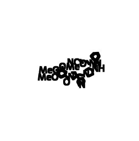 COc1cc(C(=O)N2CCC(CCN3CCC(Nc4nc5ccccc5n4CCOCC#N)CC3)(c3ccncc3)C2)cc(OC)c1OC